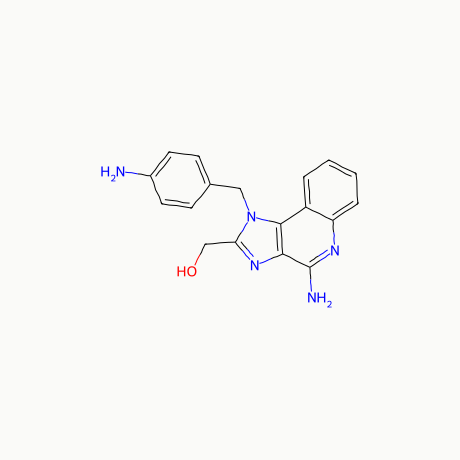 Nc1ccc(Cn2c(CO)nc3c(N)nc4ccccc4c32)cc1